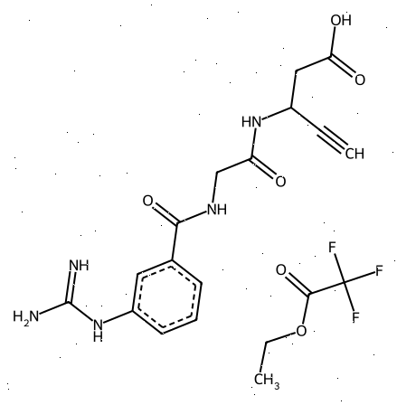 C#CC(CC(=O)O)NC(=O)CNC(=O)c1cccc(NC(=N)N)c1.CCOC(=O)C(F)(F)F